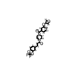 O=C(/C=C/c1ccc2c(c1)OC(F)(F)O2)N1CCN(C(=O)c2ccnc(OC3COC3)c2)CC1